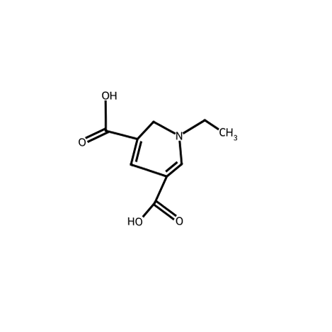 CCN1C=C(C(=O)O)C=C(C(=O)O)C1